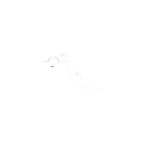 CCN(CCN1CCC(n2ncc3cc(F)ccc32)CC1)[S+]([O-])CCO